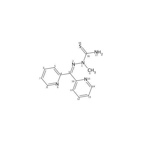 CN(N=C(c1ccccn1)c1ccccn1)C(N)=S